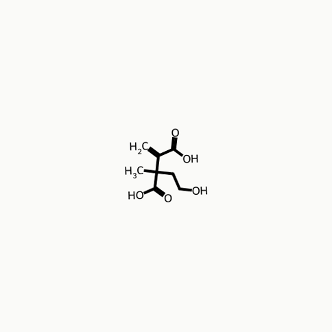 C=C(C(=O)O)C(C)(CCO)C(=O)O